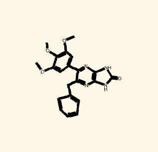 COc1cc(-c2nc3[nH]c(=O)[nH]c3nc2Cc2ccccc2)cc(OC)c1OC